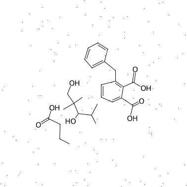 CC(C)C(O)C(C)(C)CO.CCCC(=O)O.O=C(O)c1cccc(Cc2ccccc2)c1C(=O)O